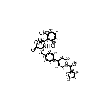 O=C(N[C@@H](Cc1ccc(C2=CCN(C(=O)c3cccs3)CC2)cc1)C(=O)O)c1c(Cl)cccc1Cl